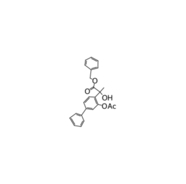 CC(=O)Oc1cc(-c2ccccc2)ccc1C(C)(O)C(=O)OCc1ccccc1